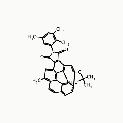 Cc1cc(C)c(C)c(-n2c(=O)c3c4cc(C)c5ccc6ccc7c(OC(C)(C)C)cc(c3c2=O)c2c7c6c5c42)c1